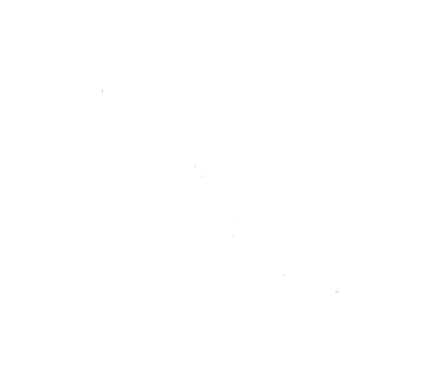 OCC/C=C/CCCCBr